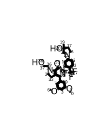 COc1cc(OC)cc(-c2nn(-c3cc(N4CCC(C)(O)C4)ccc3C(F)(F)F)c(=O)c3c2CCN3CCO)c1